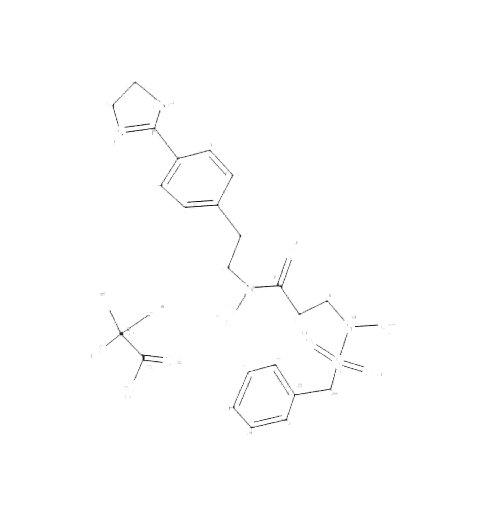 CN(CCc1ccc(C2=NCCN2)cc1)C(=O)CCN(C)S(=O)(=O)Cc1ccccc1.O=C(O)C(F)(F)F